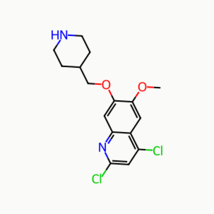 COc1cc2c(Cl)cc(Cl)nc2cc1OCC1CCNCC1